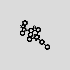 c1ccc(-c2ccc(-c3nc(-c4ccccc4)nc(-c4cccc5oc6cc(-n7c8ccccc8c8sc9ccccc9c87)c7ccccc7c6c45)n3)cc2)cc1